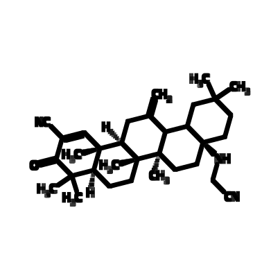 C=C1C[C@@H]2[C@@]3(C)C=C(C#N)C(=O)C(C)(C)[C@@H]3CC[C@@]2(C)[C@]2(C)CC[C@@]3(NCC#N)CCC(C)(C)CC3C12